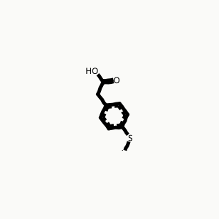 [CH2]Sc1ccc(CC(=O)O)cc1